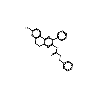 O=C(CCc1ccccc1)Nc1nc2c(nc1-c1ccccc1)-c1ccc(O)cc1CC2